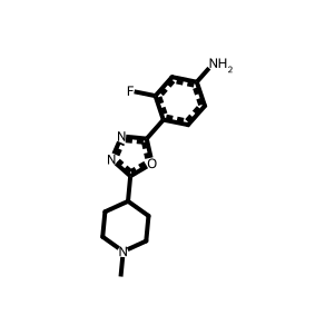 CN1CCC(c2nnc(-c3ccc(N)cc3F)o2)CC1